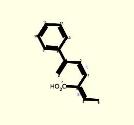 C=C(/C=C\C(=C/C)C(=O)O)c1ccccc1